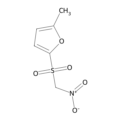 Cc1ccc(S(=O)(=O)C[N+](=O)[O-])o1